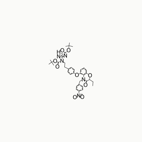 CCC1Oc2cccc(Oc3ccc(CCN(C(=O)OC(C)(C)C)C(N)=NC(=O)OC(C)(C)C)cc3)c2N(Cc2ccc([N+](=O)[O-])cc2)C1=O